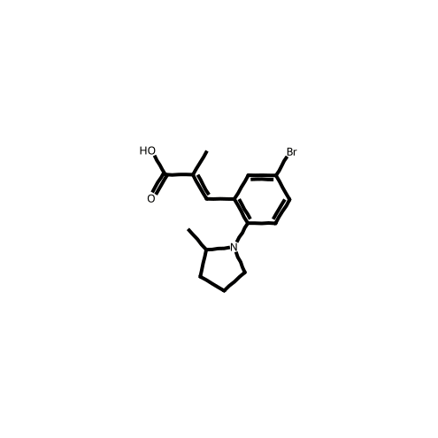 C/C(=C\c1cc(Br)ccc1N1CCCC1C)C(=O)O